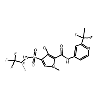 C[C@@H](NS(=O)(=O)c1cn(C)c(C(=O)Nc2ccnc(C(C)(F)F)c2)c1Cl)C(F)(F)F